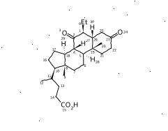 CC[C@@H]1C(=O)[C@@H]2[C@H](CC[C@]3(C)[C@@H](C(C)CCC(=O)O)CC[C@@H]23)[C@@]2(C)CCC(=O)C[C@@H]12